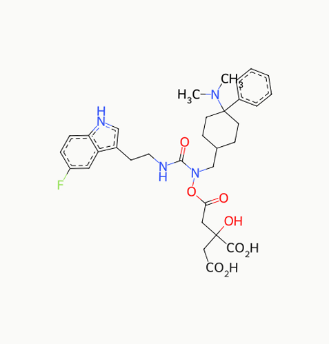 CN(C)C1(c2ccccc2)CCC(CN(OC(=O)CC(O)(CC(=O)O)C(=O)O)C(=O)NCCc2c[nH]c3ccc(F)cc23)CC1